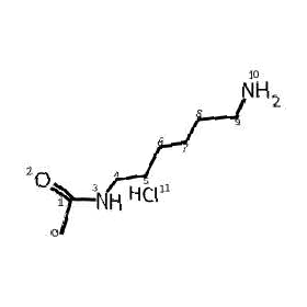 CC(=O)NCCCCCCN.Cl